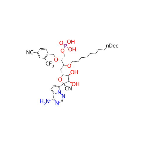 CCCCCCCCCCCCCCCCCCOC(C[C@H]1O[C@@](C#N)(c2ccc3c(N)ncnn23)[C@H](O)[C@@H]1O)[C@@H](COP(=O)(O)O)OCc1ccc(C#N)cc1C(F)(F)F